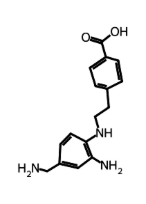 NCc1ccc(NCCc2ccc(C(=O)O)cc2)c(N)c1